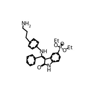 CCOP(=O)(OCC)c1ccc2c(c1)C(=C(Nc1ccc(CCCN)cc1)c1ccccc1)C(=O)N2